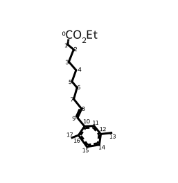 CCOC(=O)CCCCCCC/C=C/c1cc(C)ccc1C